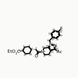 CCOC(=O)[C@H]1CC[C@H](CC(=O)N2CCc3c(C(C)=O)nn(Cc4ccc(F)cc4)c3C2)CC1